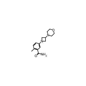 Cc1ccc(N2CC(N3CCOCC3)C2)cc1C(N)=O